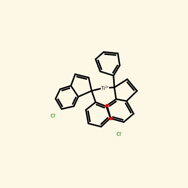 C1=C[C]([Ti+2][C]2(c3ccccc3)C=Cc3ccccc32)(c2ccccc2)c2ccccc21.[Cl-].[Cl-]